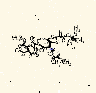 BOC(=O)C(=C)O/N=C(\C(=O)N[C@@H]1C(=O)N2C(C(=O)OB)=C(CCl)C[S+]([O-])[C@H]12)c1csc(NC(=O)OC(C)(C)C)n1